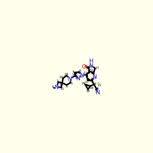 CN1CC2(CCN(c3ccn(-c4cc([C@@](C)(C#N)C5CC5)nc5c4C(=O)NC5)n3)CC2)C1